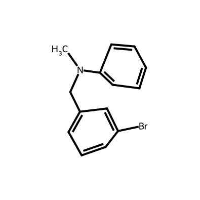 CN(Cc1cccc(Br)c1)c1ccccc1